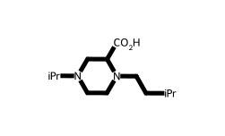 CC(C)CCN1CCN(C(C)C)CC1C(=O)O